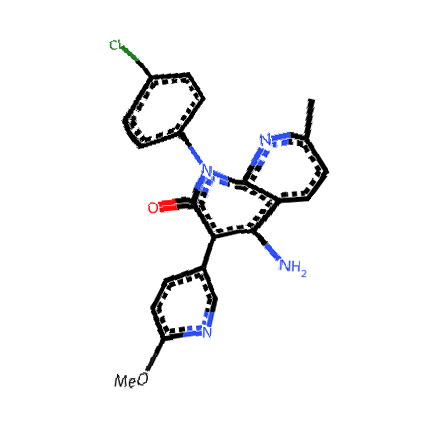 COc1ccc(-c2c(N)c3ccc(C)nc3n(-c3ccc(Cl)cc3)c2=O)cn1